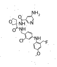 COc1ccc(Nc2ccc(CNC(=O)[C@]3(NC(=O)c4cncc(N)c4)CCOC3)c(Cl)c2)c(CF)c1